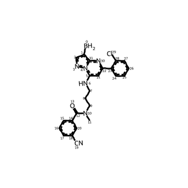 Bc1cnn2c(NCCCN(C)C(=O)c3cccc(C#N)c3)cc(-c3ccccc3Cl)nc12